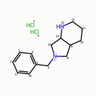 Cl.Cl.c1ccc(CN2CC3CCCNC3C2)cc1